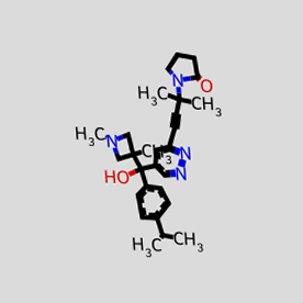 CC(C)c1ccc(C(O)(c2cnnc(C#CC(C)(C)N3CCCC3=O)c2)C2(C)CN(C)C2)cc1